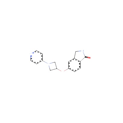 O=C1NCc2cc(OC3CN(c4ccncc4)C3)ccc21